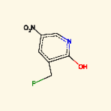 O=[N+]([O-])c1cnc(O)c(CF)c1